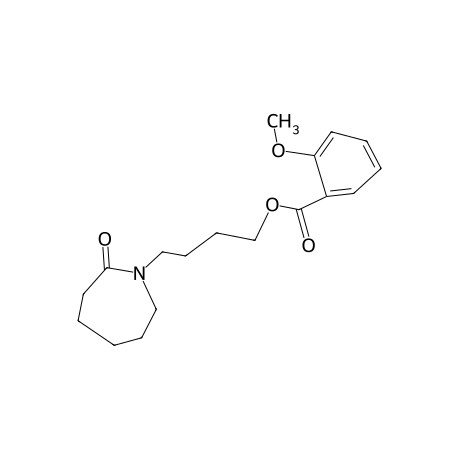 COc1ccccc1C(=O)OCCCCN1CCCCCC1=O